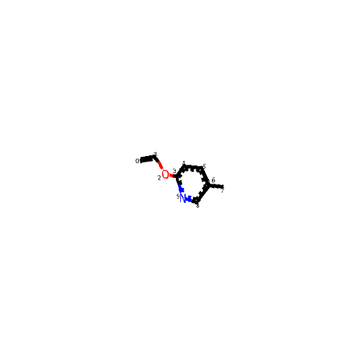 C=COc1ccc(C)cn1